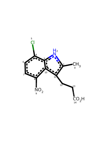 Cc1[nH]c2c(Cl)ccc([N+](=O)[O-])c2c1CCC(=O)O